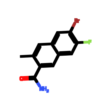 Cc1cc2cc(Br)c(F)cc2cc1C(N)=O